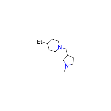 CCC1CCN(CC2CCN(C)C2)CC1